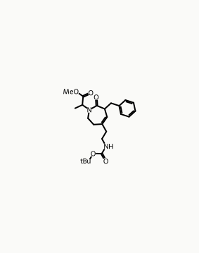 COC(=O)C(C)N1CCC(CCNC(=O)OC(C)(C)C)=CC(Cc2ccccc2)C1=O